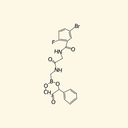 COB(CNC(=O)CNC(=O)c1cc(Br)ccc1F)OC(C=O)c1ccccc1